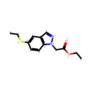 CCOC(=O)Cn1ncc2cc(SCC)ccc21